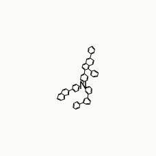 c1ccc(-c2cccc(-c3cccc(N(c4ccc(-c5ccc6ccccc6c5)cc4)c4ccc(-c5ccc6cc(-c7ccccc7)ccc6c5-c5ccccc5)cc4)c3)c2)cc1